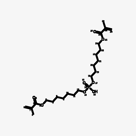 C=C(C)C(=O)OCCCCCCCOP(=O)(O)OCCCCCCCOC(=O)C(=C)C